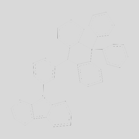 c1ccc(C2(c3ccccc3)c3ccccc3C(c3cccc(-n4c5ccccc5c5ccccc54)c3)c3ccccc32)cc1